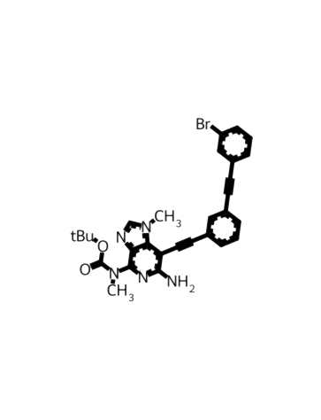 CN(C(=O)OC(C)(C)C)c1nc(N)c(C#Cc2cccc(C#Cc3cccc(Br)c3)c2)c2c1ncn2C